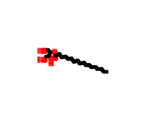 CCCCCCCCCCCCCCCCCC(=O)OC(CO)C(O)CO